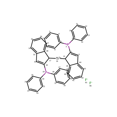 C1=C(P(c2ccccc2)c2ccccc2)[CH]([Ti+2][CH]2C(P(c3ccccc3)c3ccccc3)=Cc3ccccc32)c2ccccc21.[F-].[F-]